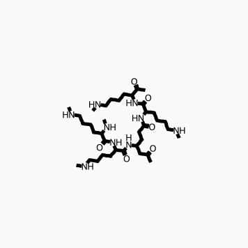 CNCCCCC(NC(=O)C(CCCCNC)NC(=O)CCC(CC(C)=O)NC(=O)C(CCCCNC)NC(=O)C(CCCCNC)NC)C(C)=O